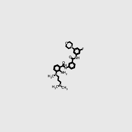 CN(C)CCCN(C)c1cccc(C(=O)Nc2cccc(C(=O)Nc3cc(F)cc(N4CCOCC4)c3)c2)c1N